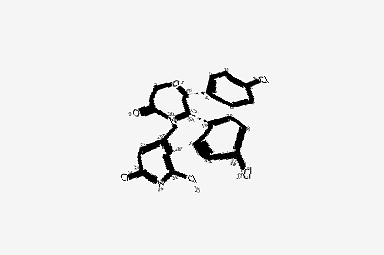 O=C1CO[C@H](c2ccc(Cl)cc2)[C@H](c2ccc(Cl)cc2)N1c1cc(Cl)nc(Cl)c1